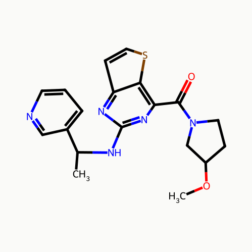 COC1CCN(C(=O)c2nc(NC(C)c3cccnc3)nc3ccsc23)C1